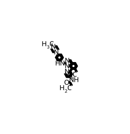 C=CC(=O)Nc1ccnc(-c2c(CC)ccc3cnc(Nc4ccc(N5CCN(C)CC5)cc4)nc23)c1